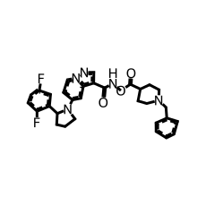 O=C(NOC(=O)C1CCN(Cc2ccccc2)CC1)c1cnn2ccc(N3CCCC3c3cc(F)ccc3F)cc12